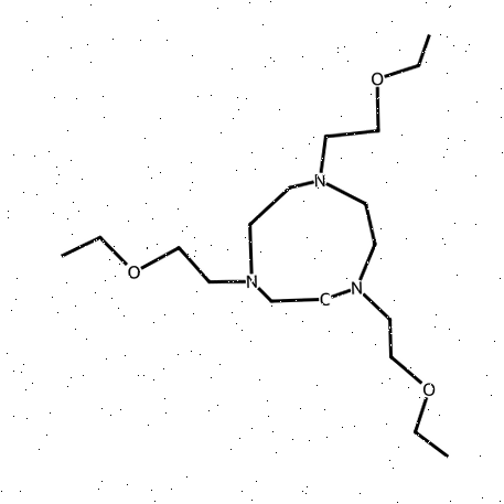 CCOCCN1CCN(CCOCC)CCN(CCOCC)CC1